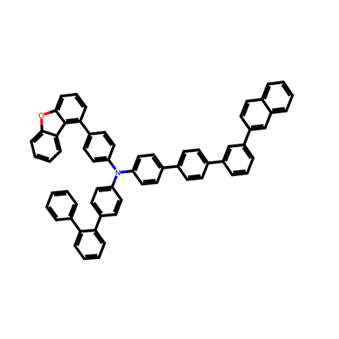 c1ccc(-c2ccccc2-c2ccc(N(c3ccc(-c4ccc(-c5cccc(-c6ccc7ccccc7c6)c5)cc4)cc3)c3ccc(-c4cccc5oc6ccccc6c45)cc3)cc2)cc1